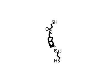 O=C(CCS)OCC1CC2C3CC(COC(=O)CCS)C(C3)C2C1